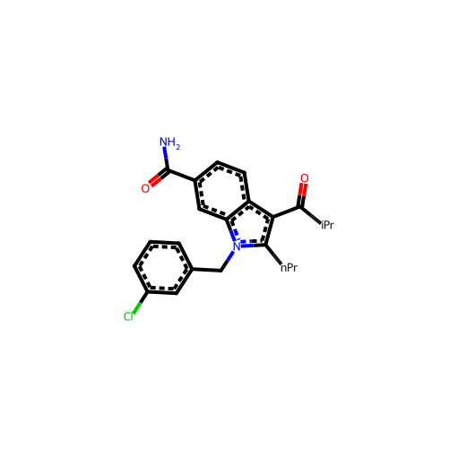 CCCc1c(C(=O)C(C)C)c2ccc(C(N)=O)cc2n1Cc1cccc(Cl)c1